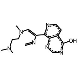 C=N/C(=C\N(C)CCN(C)C)c1nccc2c(O)ncnc12